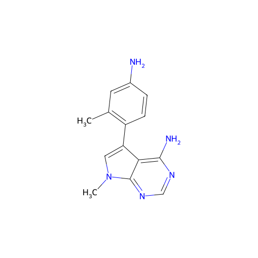 Cc1cc(N)ccc1-c1cn(C)c2ncnc(N)c12